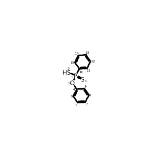 S=P(S)(Oc1ccccc1)c1ccccc1